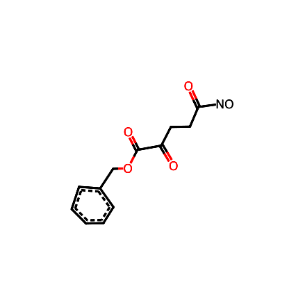 O=NC(=O)CCC(=O)C(=O)OCc1ccccc1